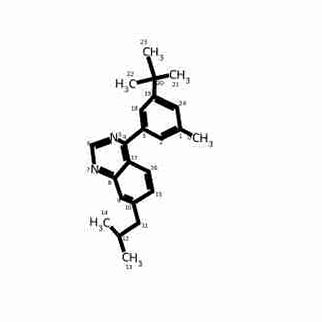 Cc1cc(-c2ncnc3cc(CC(C)C)ccc23)cc(C(C)(C)C)c1